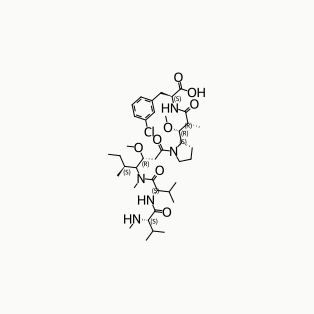 CC[C@H](C)C([C@@H](CC(=O)N1CCC[C@H]1[C@H](OC)[C@@H](C)C(=O)N[C@@H](Cc1cccc(Cl)c1)C(=O)O)OC)N(C)C(=O)[C@@H](NC(=O)[C@@H](NC)C(C)C)C(C)C